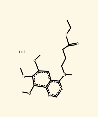 CCOC(=O)CCCN(C)c1ncnc2c(OC)c(OC)c(OC)cc12.Cl